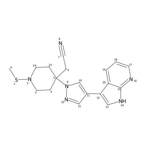 CSN1CCC(CC#N)(n2cc(-c3c[nH]c4ncccc34)cn2)CC1